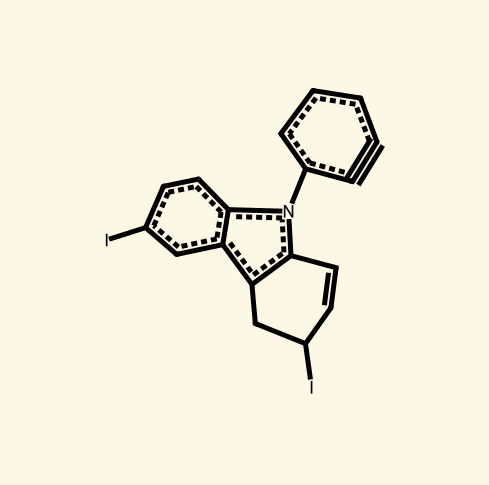 Ic1ccc2c(c1)c1c(n2-c2c#cccc2)C=CC(I)C1